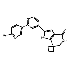 CC(C)c1ccc(-c2cc(-c3cc4c([nH]3)C3(CCC3)CNC4=O)ccn2)cn1